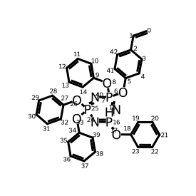 C=Cc1ccc(OP2(Oc3ccccc3)=N[PH](Oc3ccccc3)=NP(Oc3ccccc3)(Oc3ccccc3)=N2)cc1